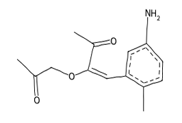 CC(=O)CO/C(=C/c1cc(N)ccc1C)C(C)=O